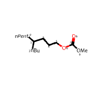 CCCCCC(CCCC)CCCOC(=O)OC